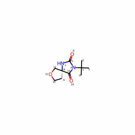 CC(C)(C)N1C(=O)N[C@@]2(CCOC2)C1=O